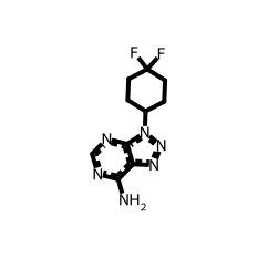 Nc1ncnc2c1nnn2C1CCC(F)(F)CC1